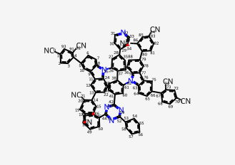 N#Cc1ccc(-c2ccc3c(c2)c2cc(-c4ccc(C#N)cc4C#N)ccc2n3-c2cc(-c3ccncc3)ccc2-c2ccc(-c3nc(-c4ccccc4)nc(-c4ccccc4)n3)cc2-n2c3ccc(-c4ccc(C#N)cc4C#N)cc3c3cc(-c4ccc(C#N)cc4C#N)ccc32)c(C#N)c1